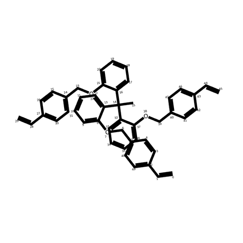 C=Cc1ccc(COc2ccccc2C(C)(c2ccccc2OCc2ccc(C=C)cc2)c2ccccc2OCc2ccc(C=C)cc2)cc1